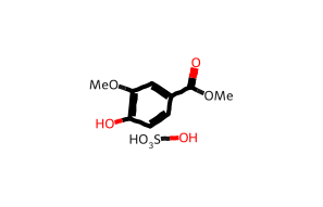 COC(=O)c1ccc(O)c(OC)c1.O=S(=O)(O)O